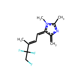 C=c1nc(C)n(C)/c1=C/C=C(\C)C(F)(F)CF